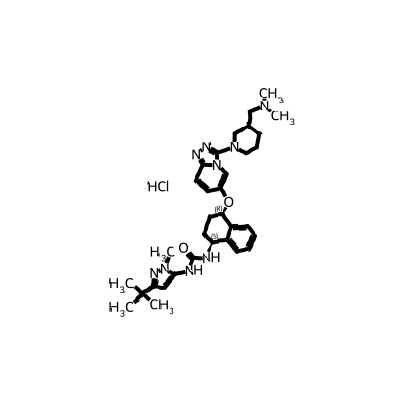 CN(C)CC1CCCN(c2nnc3ccc(O[C@@H]4CC[C@H](NC(=O)Nc5cc(C(C)(C)C)nn5C)c5ccccc54)cn23)C1.Cl